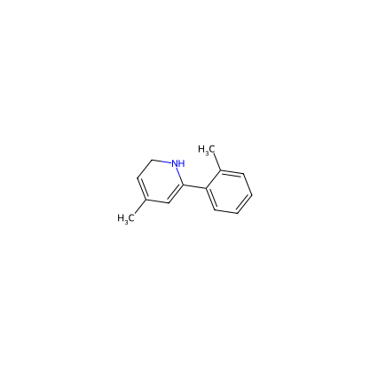 CC1=CCNC(c2ccccc2C)=C1